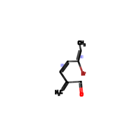 C=C(C=O)/C=C\C(Br)=C/C